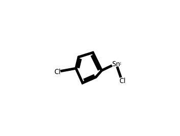 [Cl][Sn][c]1ccc(Cl)cc1